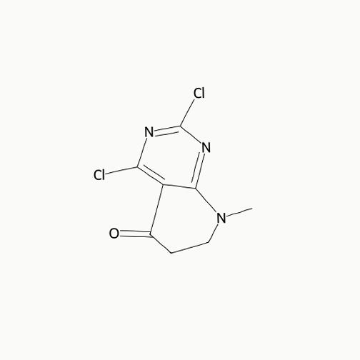 CN1CCC(=O)c2c(Cl)nc(Cl)nc21